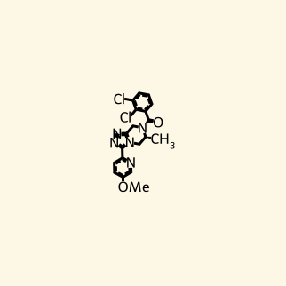 COc1ccc(-c2nnc3n2C[C@H](C)N(C(=O)c2cccc(Cl)c2Cl)C3)nc1